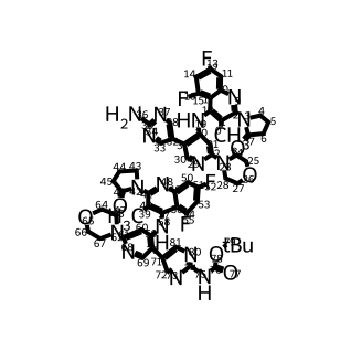 Cc1c(N2CCCC2=O)nc2cc(F)cc(F)c2c1Nc1cc(N2CCOCC2)ncc1-c1cnc(N)nc1.Cc1c(N2CCCC2=O)nc2cc(F)cc(F)c2c1Nc1cc(N2CCOCC2)ncc1-c1cnc(NC(=O)OC(C)(C)C)nc1